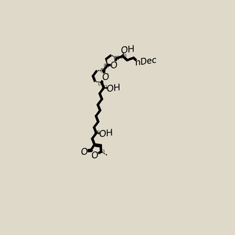 CCCCCCCCCCCC[C@@H](O)[C@H]1CC[C@H]([C@H]2CCC[C@@H]([C@@H](O)CCCCCCC[C@@H](O)CC3=C[C@H](C)OC3=O)O2)O1